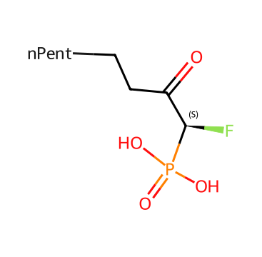 CCCCCCCC(=O)[C@@H](F)P(=O)(O)O